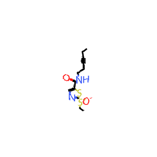 CCC#CCCNC(=O)c1cnc([S+]([O-])CC)s1